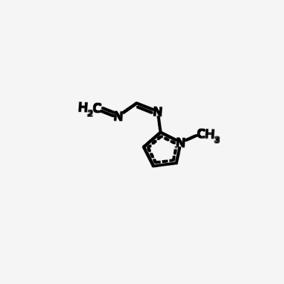 C=N/C=N\c1cccn1C